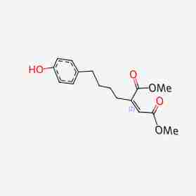 COC(=O)/C=C(/CCCCc1ccc(O)cc1)C(=O)OC